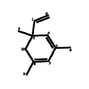 C=CC1(C)C=C(C)C=C(C)C1